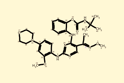 CO/N=C(\C)c1cnc(Nc2ccc(N3CCOCC3)cc2OC)nc1Nc1ccccc1OC(=O)NC(C)(C)C